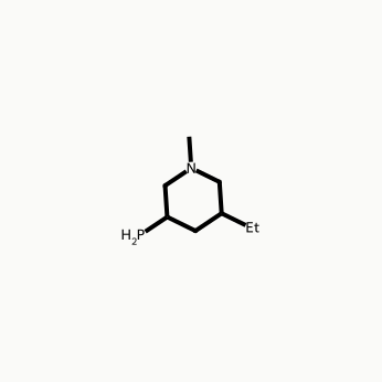 CCC1CC(P)CN(C)C1